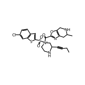 CCC#CC1C[N+](C(=O)c2nc3c(o2)CNC(C)C3)(S(=O)(=O)c2cc3ccc(Cl)cc3s2)CCN1